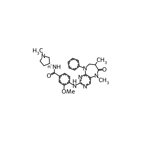 COc1cc(C(=O)N[C@@H]2CCN(C)C2)ccc1Nc1ncc2c(n1)N(c1ccccc1)CC(C)C(=O)N2C